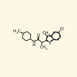 Cc1c(C(C)C(=O)NC2CCN(C)CC2)sc2ccc(Cl)cc12